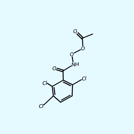 CC(=O)OONC(=O)c1c(Cl)ccc(Cl)c1Cl